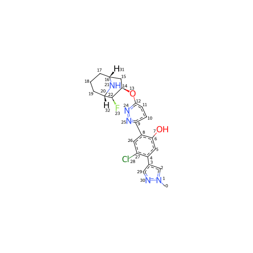 Cn1cc(-c2cc(O)c(-c3ccc(O[C@@H]4C[C@H]5CCC[C@H](N5)[C@@H]4F)nn3)cc2Cl)cn1